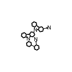 N#Cc1ccc2c(c1)c1ccccc1n2-c1ccc2c(c1)c1ccccc1n2-c1cccc(-c2ccccc2C#N)c1